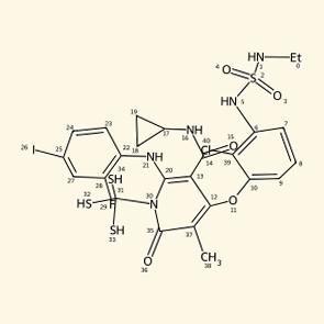 CCNS(=O)(=O)Nc1cccc(Oc2c(C(=O)NC3CC3)c(Nc3ccc(I)cc3F)n(C(S)(S)S)c(=O)c2C)c1Cl